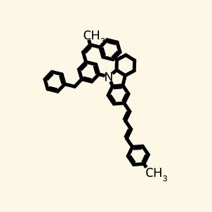 C/C(=C/c1cc(Cc2ccccc2)cc(N2c3ccc(/C=C/C=C/c4ccc(C)cc4)cc3C3CCCCC32)c1)c1ccccc1